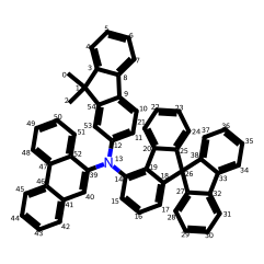 CC1(C)c2ccccc2-c2ccc(N(c3cccc4c3-c3ccccc3C43c4ccccc4-c4ccccc43)c3cc4ccccc4c4ccccc34)cc21